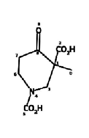 CC1(C(=O)O)CN(C(=O)O)CCC1=O